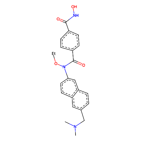 CCON(C(=O)c1ccc(C(=O)NO)cc1)c1ccc2cc(CN(C)C)ccc2c1